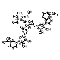 NC(=O)C1=CN([C@@H]2O[C@H](COP(=O)(O)OP(=O)(O)OC[C@H]3O[C@@H](n4cnc5c(N)ncnc54)[C@H](O)[C@@H]3O)[C@@H](O)[C@H]2O)C=CC1.O=C[C@H](O)[C@H](O)[C@H](O)CO